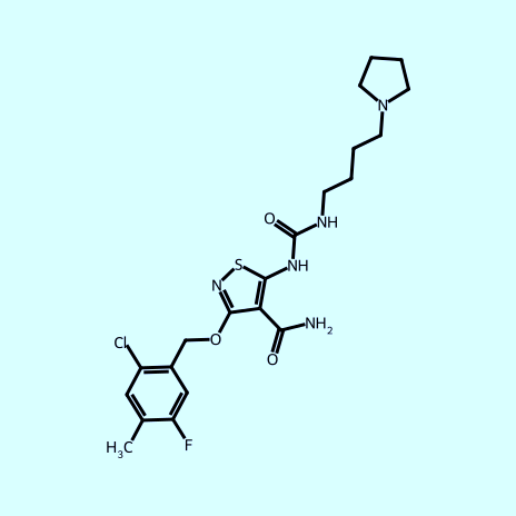 Cc1cc(Cl)c(COc2nsc(NC(=O)NCCCCN3CCCC3)c2C(N)=O)cc1F